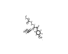 CCOC(=O)CCCC(=O)N(C)c1cc[c]([Ge])cc1.O.O.O